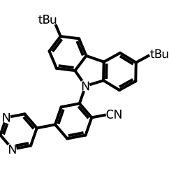 CC(C)(C)c1ccc2c(c1)c1cc(C(C)(C)C)ccc1n2-c1cc(-c2cncnc2)ccc1C#N